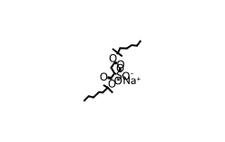 CCCCCC(C)(C)OC(=O)CC(C(=O)OC(C)(C)CCCCC)S(=O)(=O)[O-].[Na+]